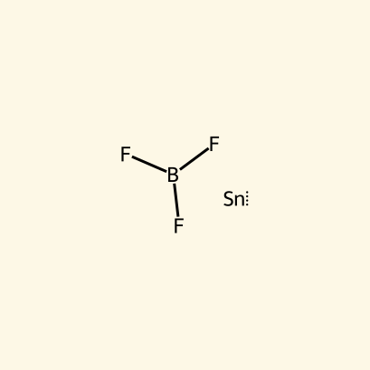 FB(F)F.[Sn]